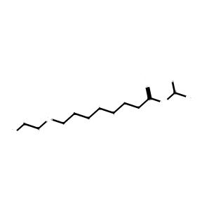 CCCCCCCCC(C)OC(=O)CCCCCCCNCCO